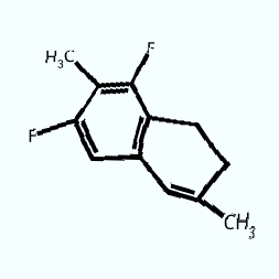 CC1=Cc2cc(F)c(C)c(F)c2CC1